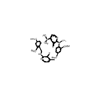 COc1ccc(CNc2nccc(I)c2F)c(OC)c1.COc1ccc(N(C)c2nccc(B(O)O)c2F)c(OC)c1